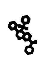 O=C(c1ccc2c(c1)OCC(c1ccccc1)N2S(=O)(=O)c1ccccc1)N1CCCCC1